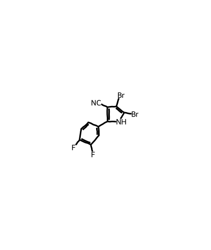 N#Cc1c(-c2ccc(F)c(F)c2)[nH]c(Br)c1Br